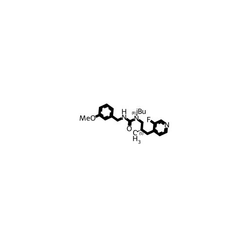 CC[C@@H](C)N(C[C@@H](C)Cc1ccncc1F)C(=O)NCc1cccc(OC)c1